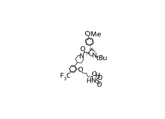 COc1ccc([C@@H]2CN(C(C)(C)C)C[C@H]2C(=O)N2CCC(c3ccc(C(F)(F)F)cc3OCCCC(=O)N[SH](=O)=O)CC2)cc1